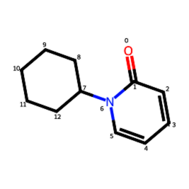 O=c1c[c]ccn1C1CCCCC1